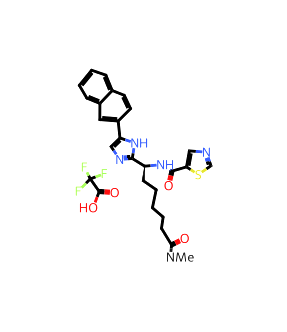 CNC(=O)CCCCC[C@H](NC(=O)c1cncs1)c1ncc(-c2ccc3ccccc3c2)[nH]1.O=C(O)C(F)(F)F